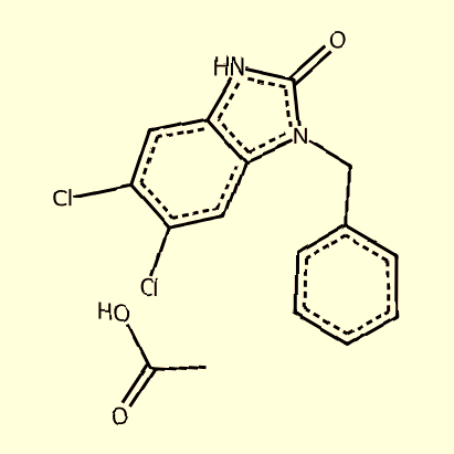 CC(=O)O.O=c1[nH]c2cc(Cl)c(Cl)cc2n1Cc1ccccc1